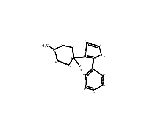 CC(=O)C1(c2ccsc2-c2ccccc2)CCN(C)CC1